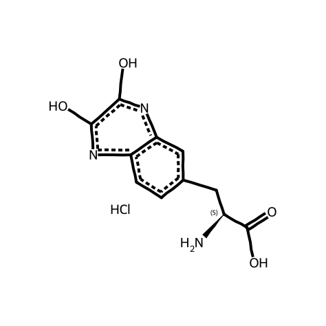 Cl.N[C@@H](Cc1ccc2nc(O)c(O)nc2c1)C(=O)O